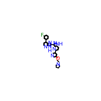 Fc1cccc(-c2ccnc3[nH]c(-c4n[nH]c5ccc(-c6cncc(OCCN7CCCC7)c6)nc45)nc23)c1